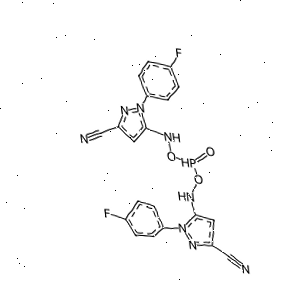 N#Cc1cc(NO[PH](=O)ONc2cc(C#N)nn2-c2ccc(F)cc2)n(-c2ccc(F)cc2)n1